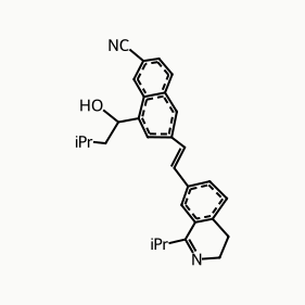 CC(C)CC(O)c1cc(C=Cc2ccc3c(c2)C(C(C)C)=NCC3)cc2ccc(C#N)cc12